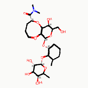 CC1CCC[C@@H](O[C@@H]2OC(CO)[C@H](O)C3O[C@@H](C(=O)N(C)C)CCCOC32)C1O[C@@H]1OC(C)[C@@H](O)C(O)[C@@H]1O